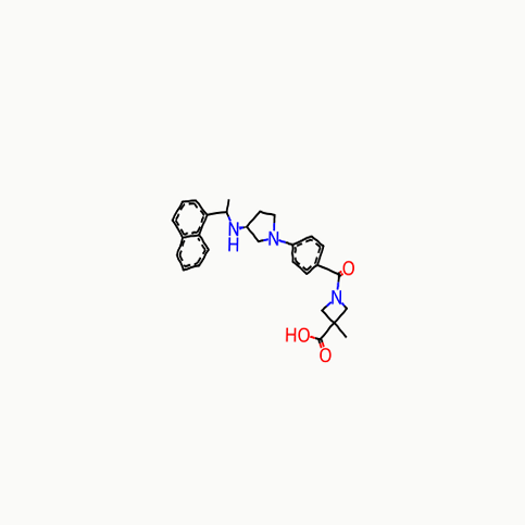 CC(N[C@H]1CCN(c2ccc(C(=O)N3CC(C)(C(=O)O)C3)cc2)C1)c1cccc2ccccc12